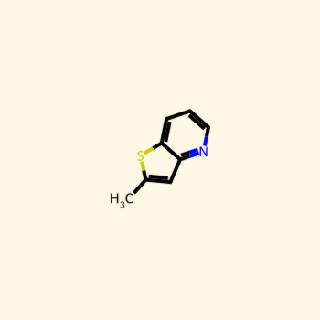 Cc1cc2ncccc2s1